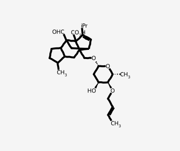 C/C=C/CO[C@H]1[C@@H](O)C[C@H](OCC23CC4C(C)CCC4C4(C=O)CC2C=C(C(C)C)C43C(=O)O)O[C@@H]1C